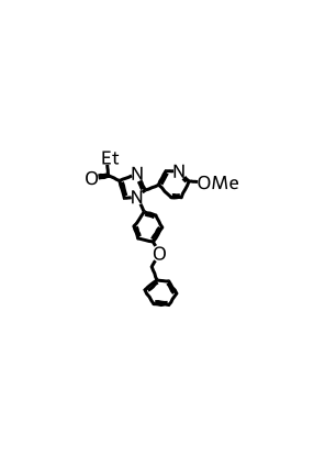 CCC(=O)c1cn(-c2ccc(OCc3ccccc3)cc2)c(-c2ccc(OC)nc2)n1